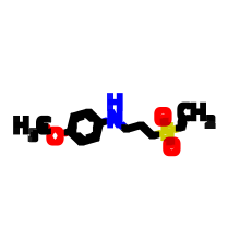 C=CS(=O)(=O)CCCNc1ccc(OC)cc1